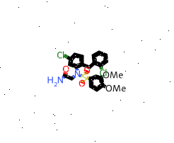 COc1ccc(S(=O)(=O)N(CC(N)=O)c2cc(Cl)ccc2Cc2ccccc2Cl)cc1OC